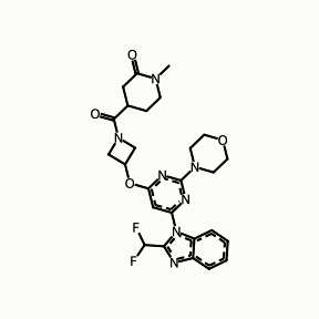 CN1CCC(C(=O)N2CC(Oc3cc(-n4c(C(F)F)nc5ccccc54)nc(N4CCOCC4)n3)C2)CC1=O